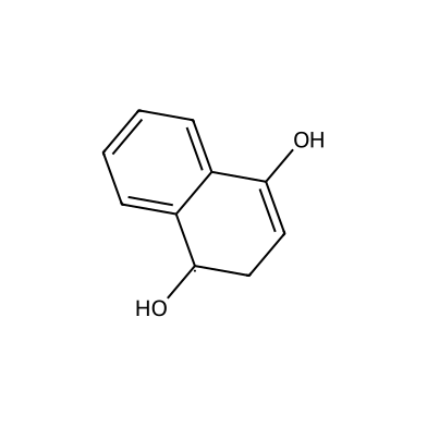 O[C]1CC=C(O)c2ccccc21